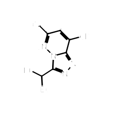 CCC(CC)c1nnc2c(Cl)cc(Cl)nn12